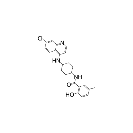 Cc1ccc(O)c(C(=O)NC2CCC(Nc3ccnc4cc(Cl)ccc34)CC2)c1